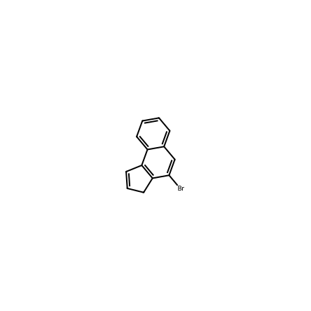 Brc1cc2ccccc2c2c1CC=C2